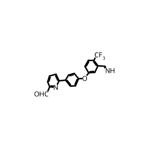 N=Cc1cc(Oc2ccc(-c3cccc(C=O)n3)cc2)ccc1C(F)(F)F